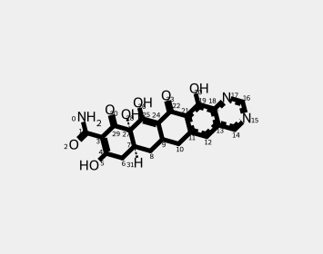 NC(=O)C1=C(O)C[C@@H]2CC3Cc4cc5cncnc5c(O)c4C(=O)C3=C(O)[C@]2(O)C1=O